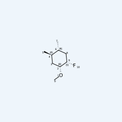 CO[C@@H]1C[C@@H](C)[C@H](C)C[C@@H]1F